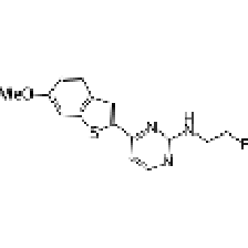 COc1ccc2cc(-c3ccnc(NCCF)n3)sc2c1